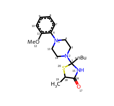 CCCCC1(N2CCN(c3ccccc3OC)CC2)NC(=O)C(C)S1